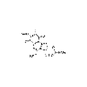 CNC(=O)OC1Cc2c3c(cc(CO)c2C1O)C(=O)C(OC)=C(C)C3=O